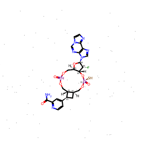 NC(=O)c1cc([C@@H]2C[C@@H]3CO[P@](=O)(S)O[C@H]4[C@@H](F)[C@H](n5cnc6c5ncn5ccnc65)O[C@@H]4CO[PH](=O)OC[C@H]32)ccn1